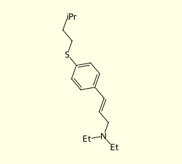 CCN(CC)CC=Cc1ccc(SCCC(C)C)cc1